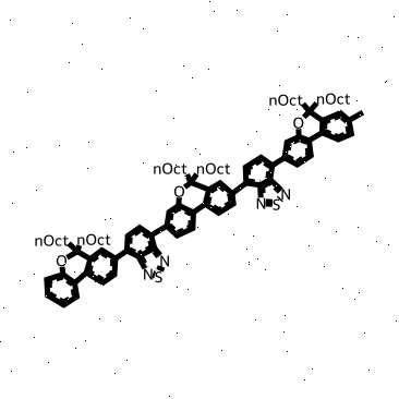 CCCCCCCCC1(CCCCCCCC)Oc2cc(-c3ccc(-c4ccc5c(c4)C(CCCCCCCC)(CCCCCCCC)Oc4cc(-c6ccc(-c7ccc8c(c7)C(CCCCCCCC)(CCCCCCCC)Oc7ccccc7-8)c7nsnc67)ccc4-5)c4nsnc34)ccc2-c2ccc(C)cc21